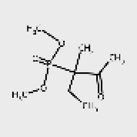 CCC(C)(C(C)=O)P(=O)(OC)OC